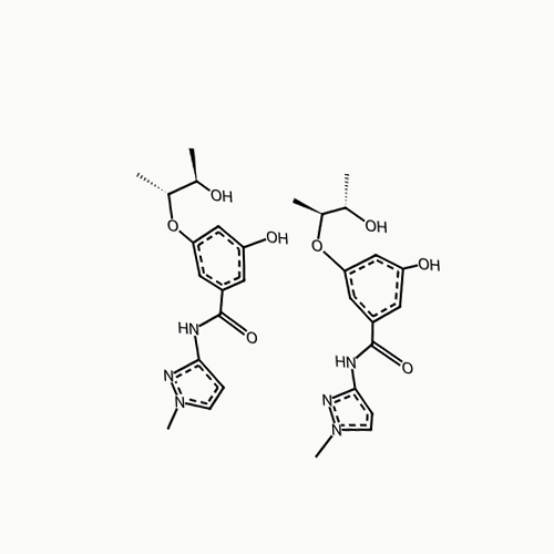 C[C@@H](O)[C@@H](C)Oc1cc(O)cc(C(=O)Nc2ccn(C)n2)c1.C[C@H](O)[C@H](C)Oc1cc(O)cc(C(=O)Nc2ccn(C)n2)c1